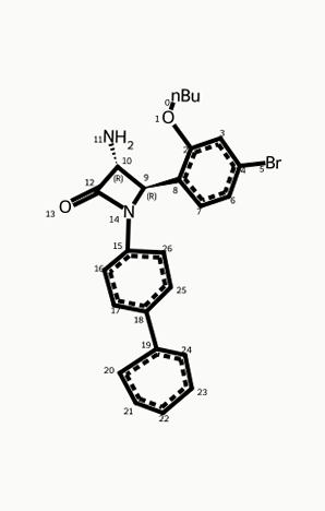 CCCCOc1cc(Br)ccc1[C@@H]1[C@@H](N)C(=O)N1c1ccc(-c2ccccc2)cc1